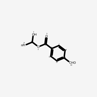 CCCC(O)OC(=O)c1ccc(C=O)cc1